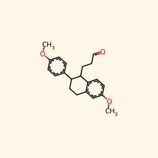 COc1ccc(C2CCc3cc(OC)ccc3C2CCC=O)cc1